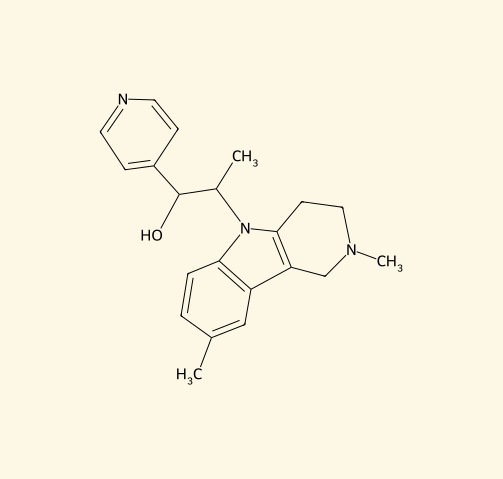 Cc1ccc2c(c1)c1c(n2C(C)C(O)c2ccncc2)CCN(C)C1